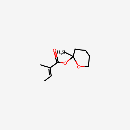 CC=C(C)C(=O)OC1([SiH3])CCCCO1